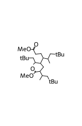 COC(=O)CCC(C(C)CC(C)(C)C)C(CC(C(=O)OC)C(C)CC(C)(C)C)C(C)CC(C)(C)C